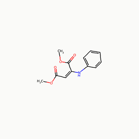 COC(=O)/C=C(/Nc1ccccc1)C(=O)OC